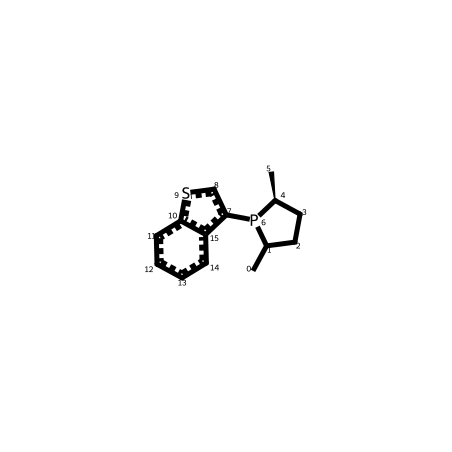 CC1CC[C@H](C)P1c1csc2ccccc12